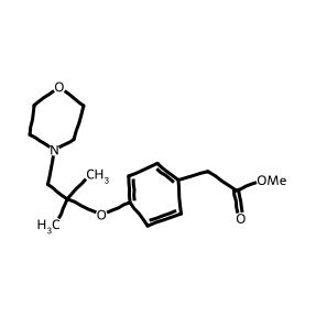 COC(=O)Cc1ccc(OC(C)(C)CN2CCOCC2)cc1